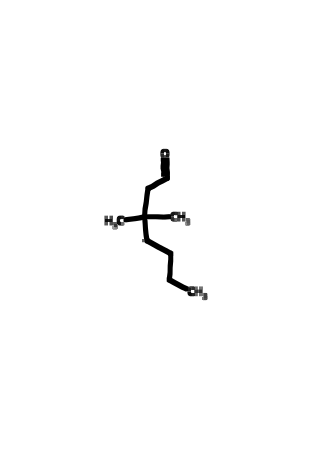 CCC[CH]C(C)(C)CC=O